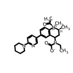 CCN(C(=O)[O-])C1C[C@H](C)[N@+](C)(C(C)=O)c2ccc(-c3ccc(N4CCCCC4)nc3)cc21